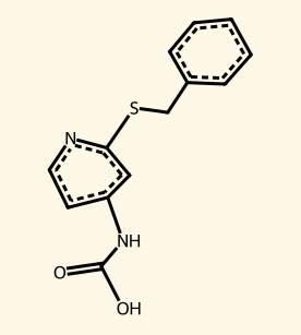 O=C(O)Nc1ccnc(SCc2ccccc2)c1